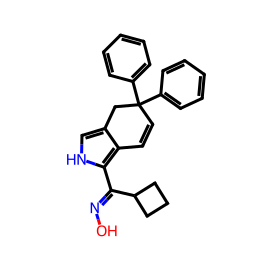 O/N=C(/c1[nH]cc2c1C=CC(c1ccccc1)(c1ccccc1)C2)C1CCC1